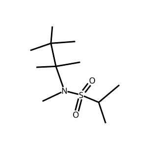 CC(C)S(=O)(=O)N(C)C(C)(C)C(C)(C)C